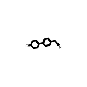 N#CCc1ccc(C2=CCC(=O)CC2)cc1